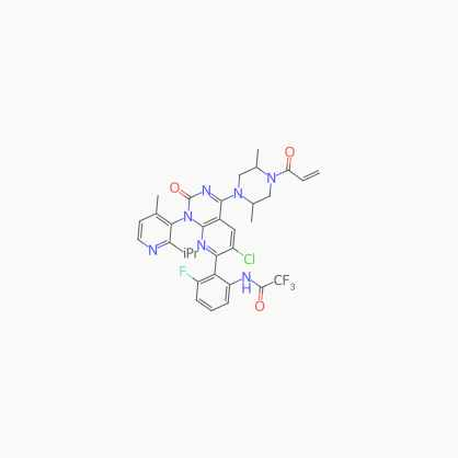 C=CC(=O)N1CC(C)N(c2nc(=O)n(-c3c(C)ccnc3C(C)C)c3nc(-c4c(F)cccc4NC(=O)C(F)(F)F)c(Cl)cc23)CC1C